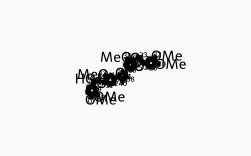 COc1ccc([C@@H](O)[C@@H](C)Oc2ccc([C@H]3O[C@H](c4ccc(O[C@H](C)[C@@H](O)c5ccc(OC)c(OC)c5)c(OC)c4)[C@H](C)[C@H]3C)cc2OC)cc1OC